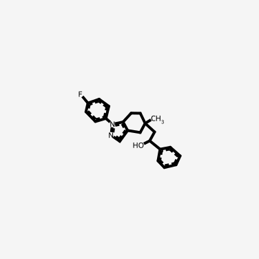 CC1(CC(O)c2ccccc2)CCc2c(cnn2-c2ccc(F)cc2)C1